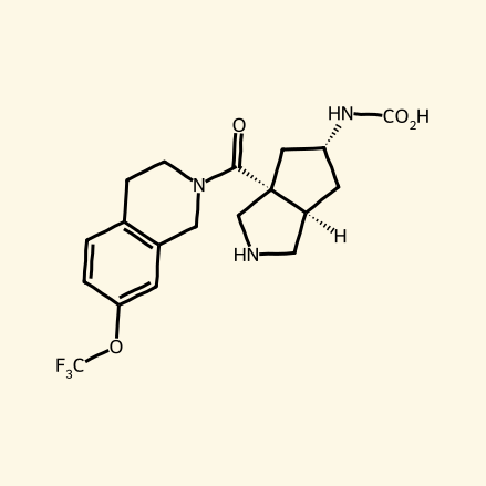 O=C(O)N[C@@H]1C[C@H]2CNC[C@@]2(C(=O)N2CCc3ccc(OC(F)(F)F)cc3C2)C1